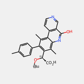 Cc1ccc(-c2c([C@H](OC(C)(C)C)C(=O)O)c(C)c3nc(O)c4cnccc4c3c2C)cc1